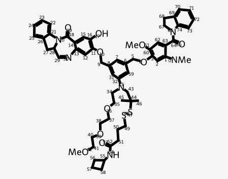 CNc1cc(OCc2cc(COc3cc4c(cc3O)C(=O)N3c5ccccc5CC3C=N4)cc(N(CCOCCOCCOC)CC(C)(C)SSCCCC(=O)NC3CCC3)c2)c(OC)cc1C(=O)N1CCc2ccccc21